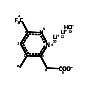 Cc1cc(C(F)(F)F)nnc1CC(=O)[O-].[Li+].[Li+].[OH-]